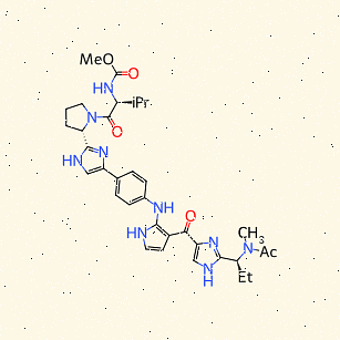 CC[C@@H](c1nc(C(=O)c2cc[nH]c2Nc2ccc(-c3c[nH]c([C@@H]4CCCN4C(=O)[C@@H](NC(=O)OC)C(C)C)n3)cc2)c[nH]1)N(C)C(C)=O